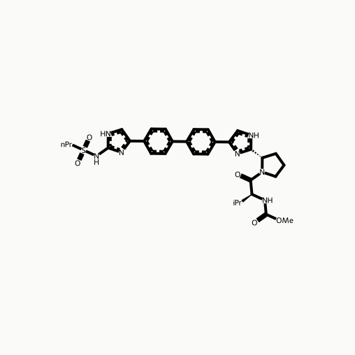 CCCS(=O)(=O)Nc1nc(-c2ccc(-c3ccc(-c4c[nH]c([C@@H]5CCCN5C(=O)[C@@H](NC(=O)OC)C(C)C)n4)cc3)cc2)c[nH]1